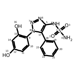 NS(=O)(=O)Nc1nnn(-c2ccc(O)cc2O)c1-c1ccccc1